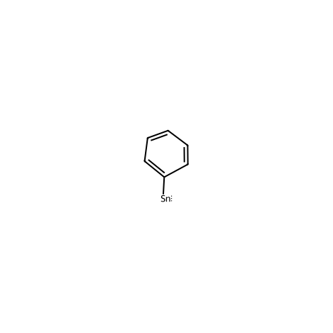 [Sn][c]1ccccc1